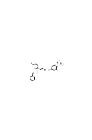 Cc1cc(CNC(=O)/C=C/c2ccc(C(F)(F)F)nc2NCc2ccccc2)ccc1NS(C)(=O)=O